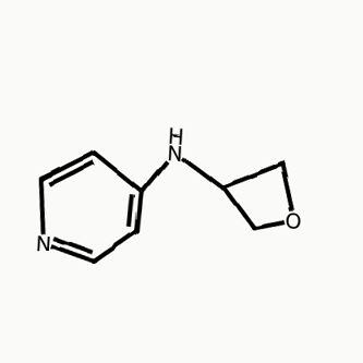 c1cc(NC2COC2)ccn1